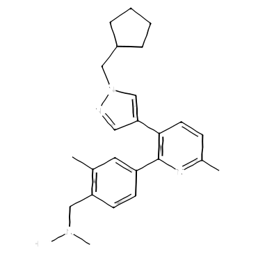 Cc1cc(-c2nc(Cl)ccc2-c2cnn(CC3CCCC3)c2)ccc1CN(C)C=O